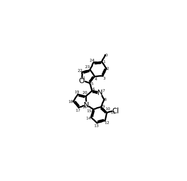 Cc1ccc2c(C3=NCc4c(Cl)cccc4-n4cccc43)occ2c1